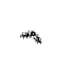 Cn1nc(C(F)(F)F)cc1Oc1cnnc(Oc2cc(C(F)(F)F)nn2C)c1